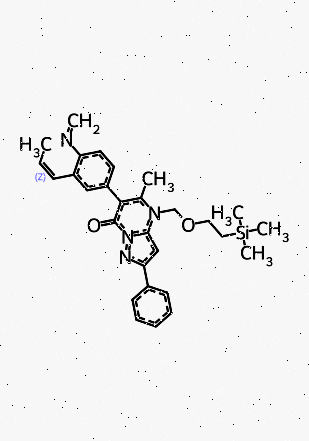 C=Nc1ccc(-c2c(C)n(COCC[Si](C)(C)C)c3cc(-c4ccccc4)nn3c2=O)cc1/C=C\C